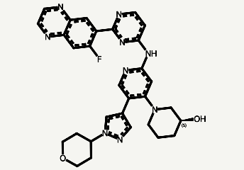 O[C@H]1CCCN(c2cc(Nc3ccnc(-c4cc5nccnc5cc4F)n3)ncc2-c2cnn(C3CCOCC3)c2)C1